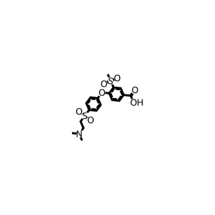 CN(C)CCS(=O)(=O)c1ccc(Oc2ccc(C(=O)O)cc2S(C)(=O)=O)cc1